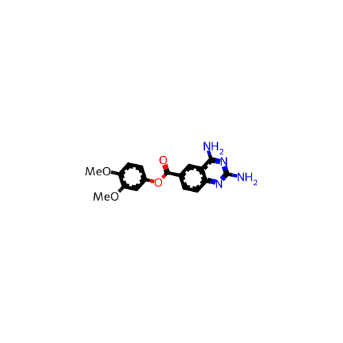 COc1ccc(OC(=O)c2ccc3nc(N)nc(N)c3c2)cc1OC